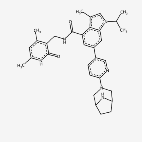 Cc1cc(C)c(CNC(=O)c2cc(-c3ccc(N4CC5CCC(C4)N5)nc3)cc3c2c(C)cn3C(C)C)c(=O)[nH]1